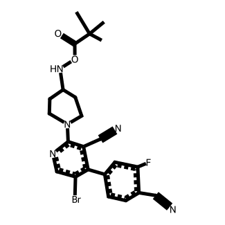 CC(C)(C)C(=O)ONC1CCN(c2ncc(Br)c(-c3ccc(C#N)c(F)c3)c2C#N)CC1